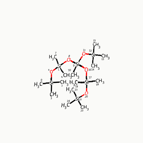 C[Si](C)(C)O[Si](C)(C)O[Si](C)(O[Si](C)(C)C)O[Si](C)(C)O[Si](C)(C)C